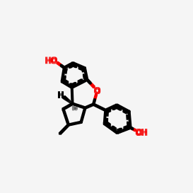 CC1CC2C(c3ccc(O)cc3)Oc3ccc(O)cc3[C@H]2C1